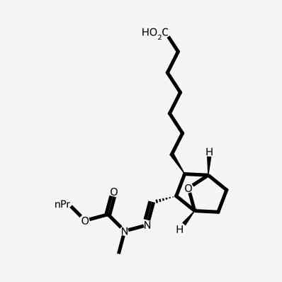 CCCOC(=O)N(C)N=C[C@@H]1[C@@H](CCCCCCC(=O)O)[C@@H]2CC[C@H]1O2